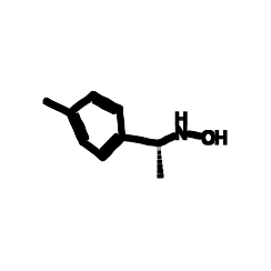 Cc1ccc([C@@H](C)NO)cc1